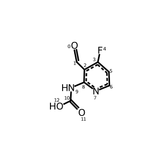 O=Cc1c(F)ccnc1NC(=O)O